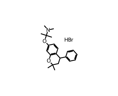 Br.CN(C)C(C)(C)Oc1ccc2c(c1)OC(C)(C)CC2c1ccccc1